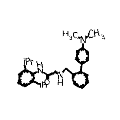 CC(C)c1cccc(C(C)C)c1NC(=O)CNCc1ccccc1-c1ccc(N(C)C)cc1